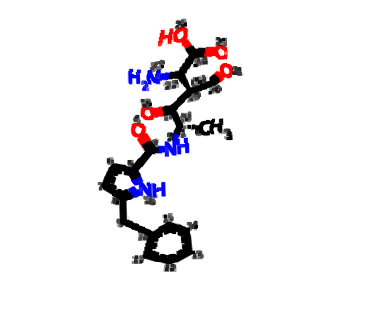 C[C@H](NC(=O)c1ccc(Cc2ccccc2)[nH]1)C(=O)[C@H](C=O)C(N)C(=O)O